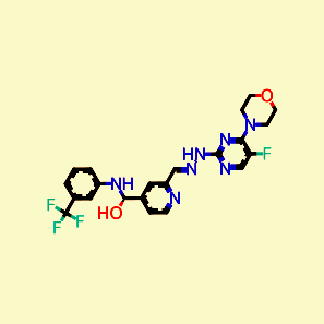 O[C@@H](Nc1cccc(C(F)(F)F)c1)c1ccnc(/C=N/Nc2ncc(F)c(N3CCOCC3)n2)c1